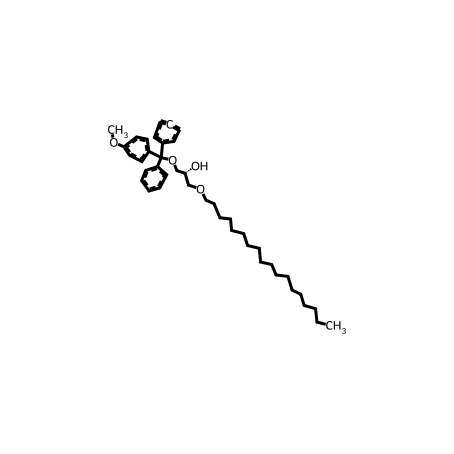 CCCCCCCCCCCCCCCCCCOC[C@@H](O)COC(c1ccccc1)(c1ccccc1)c1ccc(OC)cc1